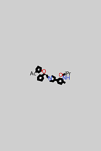 CC(=O)c1cccc(O[C@@H](CCN2CCC(c3ccc(C)c(NC(=O)C(C)C)c3)CC2)c2ccccc2)c1